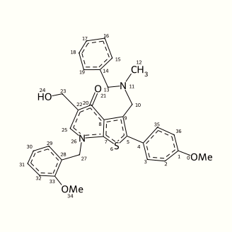 COc1ccc(-c2sc3c(c2CN(C)Cc2ccccc2)c(=O)c(CO)cn3Cc2ccccc2OC)cc1